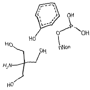 CCCCCCCCCOP(O)O.NC(CO)(CO)CO.Oc1ccccc1